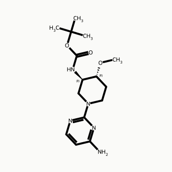 CO[C@@H]1CCN(c2nccc(N)n2)C[C@H]1NC(=O)OC(C)(C)C